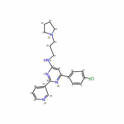 Clc1ccc(-c2cc(NCCCN3CCCC3)nc(-c3cccnc3)n2)cc1